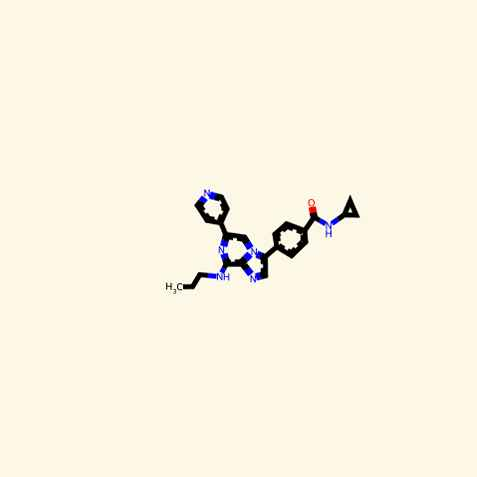 CCCNc1nc(-c2ccncc2)cn2c(-c3ccc(C(=O)NC4CC4)cc3)cnc12